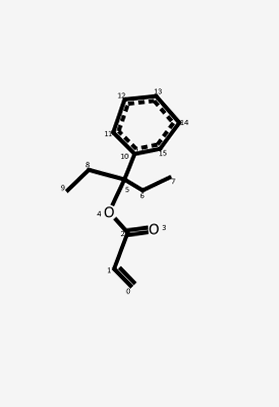 C=CC(=O)OC(CC)(CC)c1ccccc1